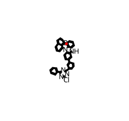 Clc1nc(-c2ccccc2)nc(-c2cccc(-c3ccc4c(c3)Nc3ccccc3N4c3cccc4cccc(Br)c34)c2)n1